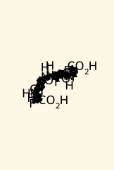 O=C(Nc1ccc2cc(S(=O)(=O)Nc3c(F)c(F)cc(C(=O)O)c3F)ccc2c1)Nc1cc(F)c2cc(S(=O)(=O)Nc3c(F)ccc(C(=O)O)c3F)ccc2c1